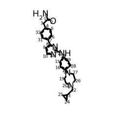 NC(=O)Cc1ccc(-c2ccnc(Nc3ccc(N4CCN(CC5CC5)CC4)cc3)n2)cc1